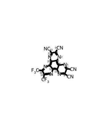 N#Cc1nc2c3nc(C#N)c(C#N)nc3c3nc(C(F)(F)F)c(C(F)(F)F)nc3c2nc1C#N